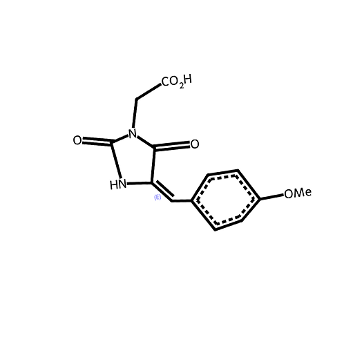 COc1ccc(/C=C2/NC(=O)N(CC(=O)O)C2=O)cc1